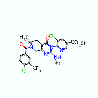 CCOC(=O)c1cnc(-n2c(NC(C)C)nc3c(c2=O)C[C@@H](C)N(C(=O)c2ccc(Cl)c(C(F)(F)F)c2)C3)c(Cl)c1